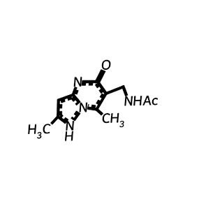 CC(=O)NCc1c(C)n2[nH]c(C)cc2nc1=O